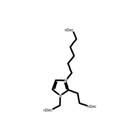 CCCCCCCCCCCCCCC[n+]1ccn(CCCCCCCCCCC)c1CCCCCCCCCCCC